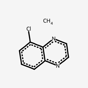 C.Clc1cccc2nccnc12